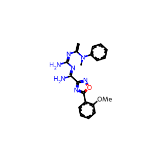 C=C(/N=C(N)\N=C(/N)c1noc(-c2ccccc2OC)n1)N(C)c1ccccc1